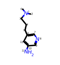 CN(C)CCCc1cncc(N)c1